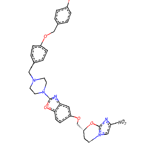 O=[N+]([O-])c1cn2c(n1)O[C@@H](COc1ccc3oc(N4CCN(Cc5ccc(OCc6ccc(OC(F)(F)F)cc6)cc5)CC4)nc3c1)CC2